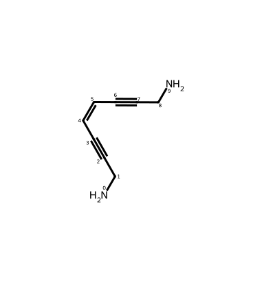 NCC#C/C=C\C#CCN